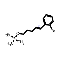 CC(C)(C)[Si](C)(C)OCCC/C=C/c1ccccc1Br